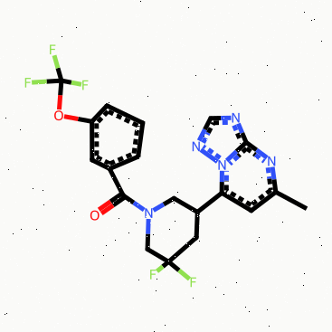 Cc1cc(C2CN(C(=O)c3cccc(OC(F)(F)F)c3)CC(F)(F)C2)n2ncnc2n1